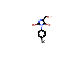 [C-]#[N+]c1ccc(-n2c(Br)nc(CBr)c2Br)cc1